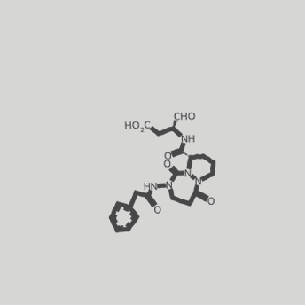 O=C[C@H](CC(=O)O)NC(=O)[C@@H]1CCCN2C(=O)CCN(NC(=O)Cc3ccccc3)C(=O)N12